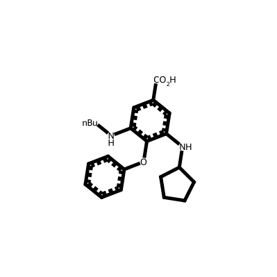 CCCCNc1cc(C(=O)O)cc(NC2CCCC2)c1Oc1ccccc1